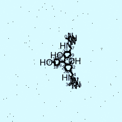 Cc1nnnn1NCc1ccc(C(c2ccc(O)cc2)c2ccc(CNn3nnnc3C)cc2O)c(O)c1